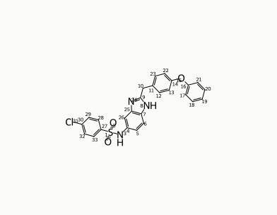 O=S(=O)(Nc1ccc2[nH]c(Cc3ccc(Oc4ccccc4)cc3)nc2c1)c1ccc(Cl)cc1